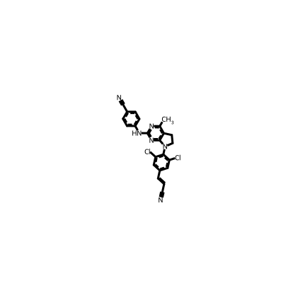 Cc1nc(Nc2ccc(C#N)cc2)nc2c1CCN2c1c(Cl)cc(/C=C/C#N)cc1Cl